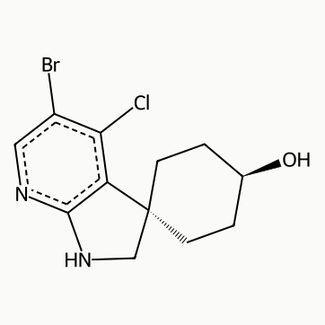 O[C@H]1CC[C@]2(CC1)CNc1ncc(Br)c(Cl)c12